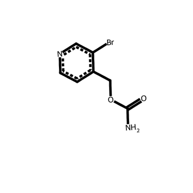 NC(=O)OCc1ccncc1Br